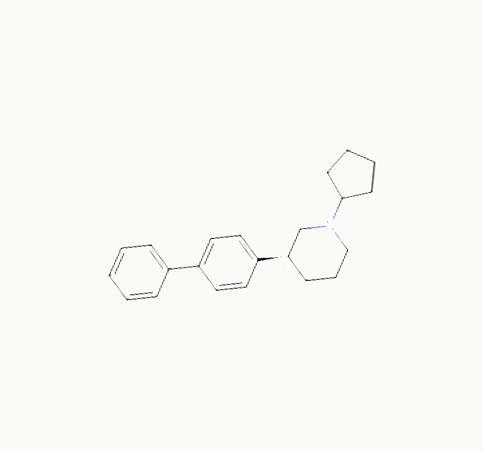 c1ccc(-c2ccc([C@@H]3CCCN(C4CCCC4)C3)cc2)cc1